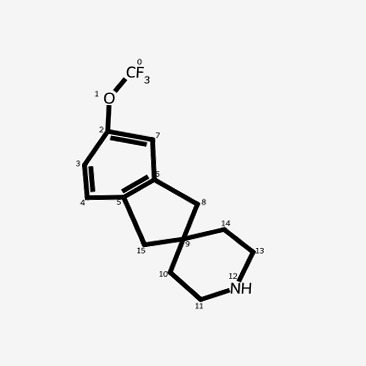 FC(F)(F)Oc1ccc2c(c1)CC1(CCNCC1)C2